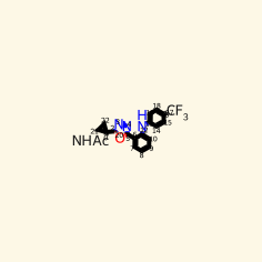 CC(=O)NC1(c2nnc(-c3ccccc3Nc3ccc(C(F)(F)F)cc3)o2)CC1